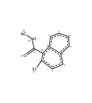 CCc1ccc2ccccc2c1C(=O)NC#N